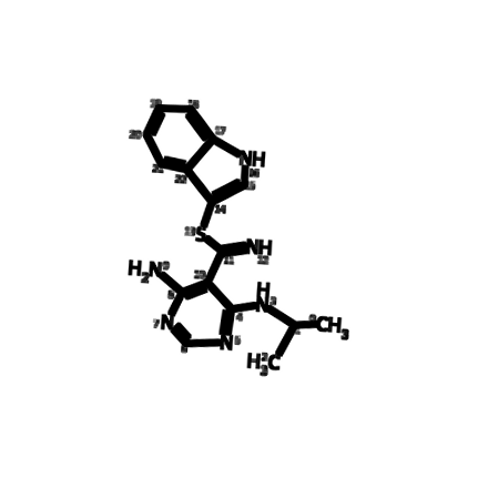 CC(C)Nc1ncnc(N)c1C(=N)Sc1c[nH]c2ccccc12